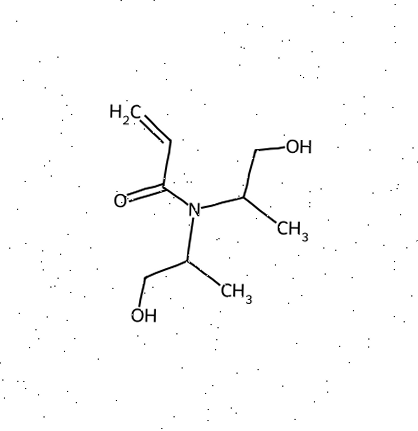 C=CC(=O)N(C(C)CO)C(C)CO